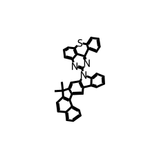 CC1(C)c2cc3c(cc2-c2c1ccc1ccccc21)c1ccccc1n3-c1nc2c3c(cccc3n1)Sc1ccccc1-2